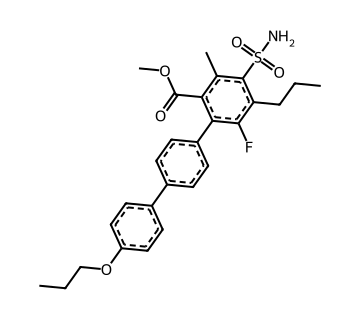 CCCOc1ccc(-c2ccc(-c3c(F)c(CCC)c(S(N)(=O)=O)c(C)c3C(=O)OC)cc2)cc1